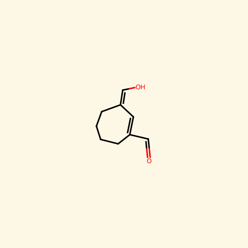 O=CC1=C/C(=C\O)CCCC1